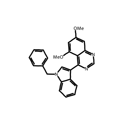 COc1cc(OC)c2c(-c3cn(Cc4ccccc4)c4ccccc34)ncnc2c1